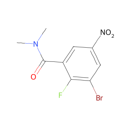 CN(C)C(=O)c1cc([N+](=O)[O-])cc(Br)c1F